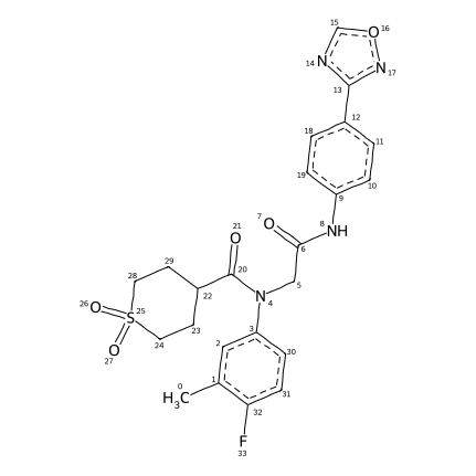 Cc1cc(N(CC(=O)Nc2ccc(-c3ncon3)cc2)C(=O)C2CCS(=O)(=O)CC2)ccc1F